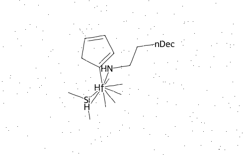 CCCCCCCCCCCC[NH][Hf]([CH3])([CH3])([CH3])([CH3])([CH3])([CH3])([C]1=CC=CC1)[SiH](C)C